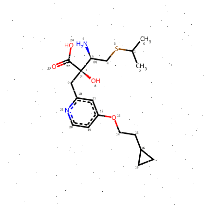 CC(C)SC[C@H](N)[C@](O)(Cc1cc(OCCC2CC2)ccn1)C(=O)O